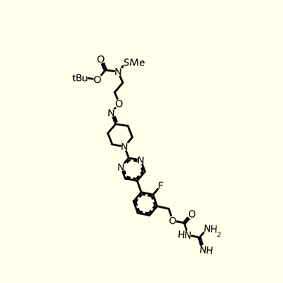 CSN(CCON=C1CCN(c2ncc(-c3cccc(COC(=O)NC(=N)N)c3F)cn2)CC1)C(=O)OC(C)(C)C